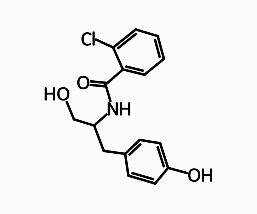 O=C(NC(CO)Cc1ccc(O)cc1)c1ccccc1Cl